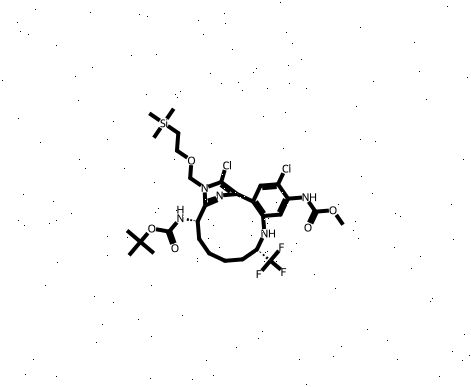 COC(=O)Nc1cc2c(cc1Cl)-c1nc(n(COCC[Si](C)(C)C)c1Cl)[C@@H](NC(=O)OC(C)(C)C)CCCC[C@@H](C(F)(F)F)N2